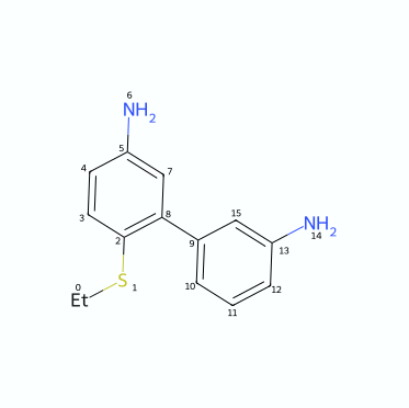 CCSc1ccc(N)cc1-c1cccc(N)c1